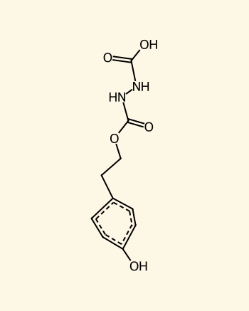 O=C(O)NNC(=O)OCCc1ccc(O)cc1